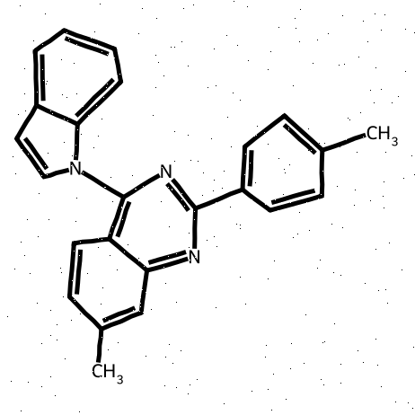 Cc1ccc(-c2nc(-n3ccc4ccccc43)c3ccc(C)cc3n2)cc1